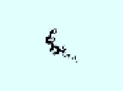 CCOC(=O)c1cncc(-c2ccc(C=O)o2)c1